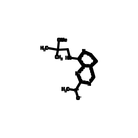 COC(C)(C)CNc1nccc2cnc([S+](C)[O-])nc12